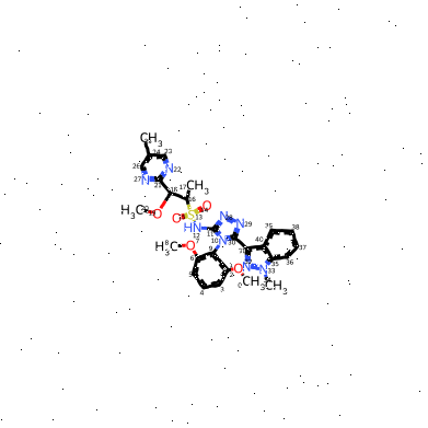 COc1cccc(OC)c1-n1c(NS(=O)(=O)C(C)C(OC)c2ncc(C)cn2)nnc1-c1nn(C)c2ccccc12